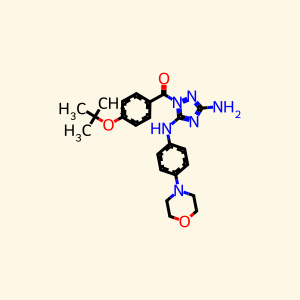 CC(C)(C)Oc1ccc(C(=O)n2nc(N)nc2Nc2ccc(N3CCOCC3)cc2)cc1